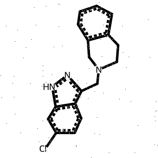 Clc1ccc2c(CN3CCc4ccccc4C3)n[nH]c2c1